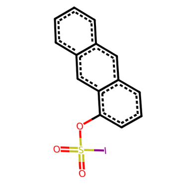 O=S(=O)(I)Oc1cccc2cc3ccccc3cc12